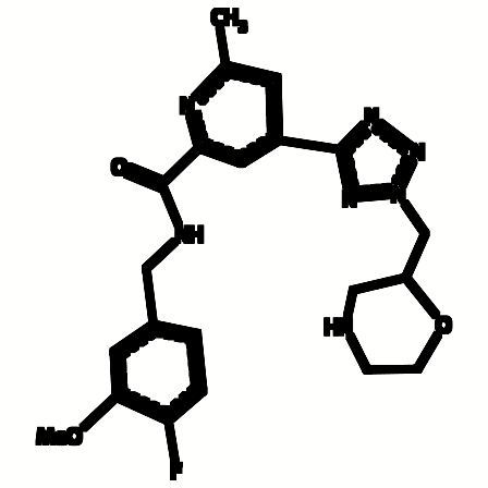 COc1cc(CNC(=O)c2cc(-c3nnn(CC4CNCCO4)n3)cc(C)n2)ccc1F